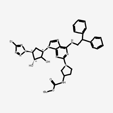 CCc1nnn([C@H]2C[C@@H](n3cnc4c(NCC(c5ccccc5)c5ccccc5)nc(N5CCC(NC(=O)OC(C)(C)C)C5)nc43)C(O)[C@@H]2O)n1